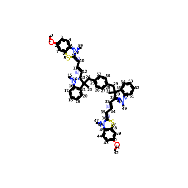 COc1ccc2c(c1)S/C(=C\C=C\C1=[N+](C)c3ccccc3C1(C)Cc1ccc(CC3(C)C(/C=C/C=C4\Sc5cc(OC)ccc5N4C)=[N+](C)c4ccccc43)cc1)N2C